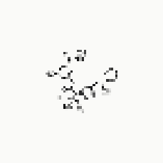 CNC(=O)C1C=C(CC(=O)C(n2cc(CC(O)c3ccccn3)nn2)C(C)(C)C)CC(O)C1